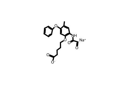 Cc1cc(NC(=O)C=O)c(OCCCCC(=O)[O-])cc1Oc1ccccc1.[Na+]